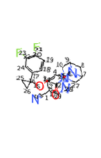 N#Cc1ccc(N2C3CC2CN(C(=O)COC2(c4ccc(F)c(F)c4)CC2)C3)nc1